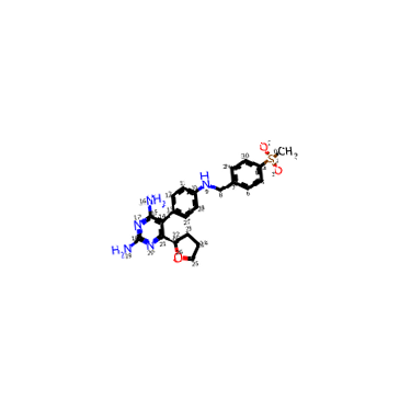 CS(=O)(=O)c1ccc(CNc2ccc(-c3c(N)nc(N)nc3[C@H]3CCCO3)cc2)cc1